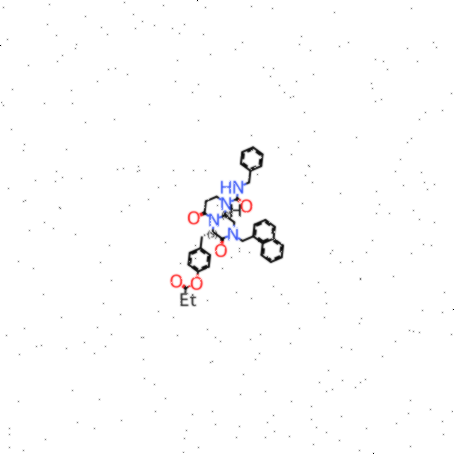 CCC(=O)Oc1ccc(C[C@H]2C(=O)N(Cc3cccc4ccccc34)C[C@@H]3N(C(=O)NCc4ccccc4)CCC(=O)N32)cc1